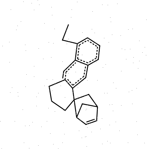 CCc1cccc2cc3c(cc12)CCCC31CC2C=CC1C2